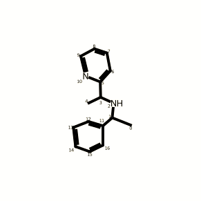 CC(NC(C)c1ccccn1)c1ccccc1